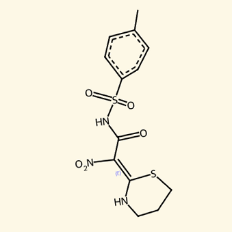 Cc1ccc(S(=O)(=O)NC(=O)/C(=C2/NCCCS2)[N+](=O)[O-])cc1